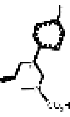 C=CC[C@H](CN(C)C(=O)O)c1ccc(F)cc1